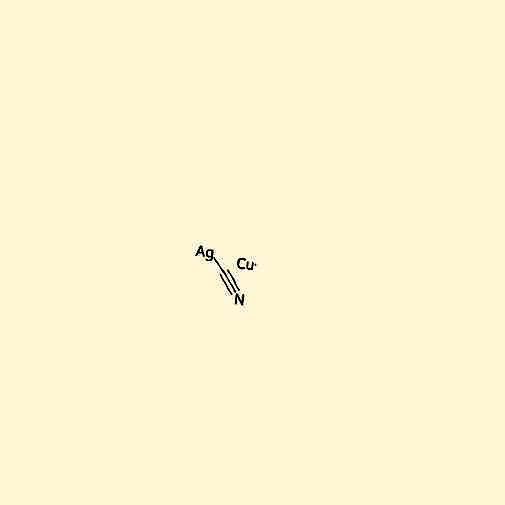 N#[C][Ag].[Cu]